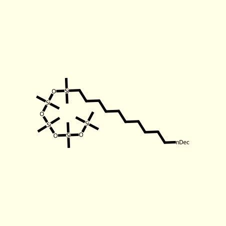 [CH2]CCCCCCCCCCCCCCCCCCC[Si](C)(C)O[Si](C)(C)O[Si](C)(C)O[Si](C)(C)O[Si](C)(C)C